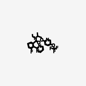 CCN(C(=O)c1cccc(F)c1-c1ncccn1)C(C)COc1ccc(OC(F)(F)F)cn1